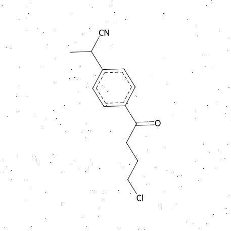 CC(C#N)c1ccc(C(=O)CCCCl)cc1